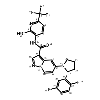 Cc1nc(C(F)(F)F)ccc1NC(=O)c1cnn2ccc(N3CCC[C@@H]3c3cc(F)ccc3F)cc12